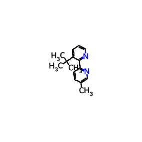 Cc1ccc(-c2ncccc2C(C)(C)C)nc1